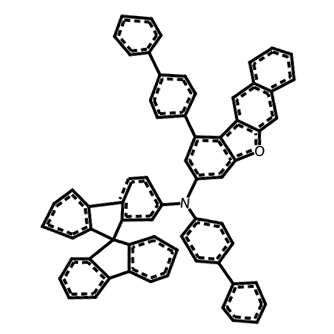 c1ccc(-c2ccc(-c3cc(N(c4ccc(-c5ccccc5)cc4)c4ccc5c(c4)C4(c6ccccc6-c6ccccc64)c4ccccc4-5)cc4oc5cc6ccccc6cc5c34)cc2)cc1